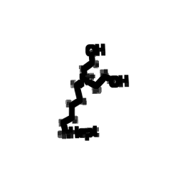 CCCCCCCCCCCC=[N+](CCO)CCO